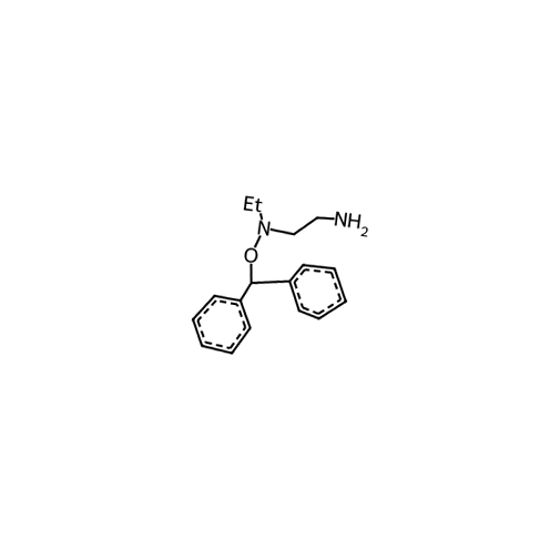 CCN(CCN)OC(c1ccccc1)c1ccccc1